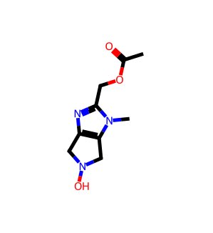 CC(=O)OCc1nc2c(n1C)CN(O)C2